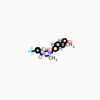 CC1CN(C(=O)c2cccc(C(F)(F)F)c2)C(C)CN1C[C@@]1(O)CC[C@@]2(C)[C@@H](CC[C@@H]3[C@@H]2CC[C@]2(C)C(=O)CC[C@@H]32)C1